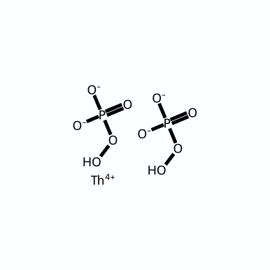 O=P([O-])([O-])OO.O=P([O-])([O-])OO.[Th+4]